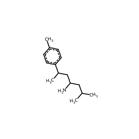 Cc1ccc(C(C)CC(N)CC(C)C)cc1